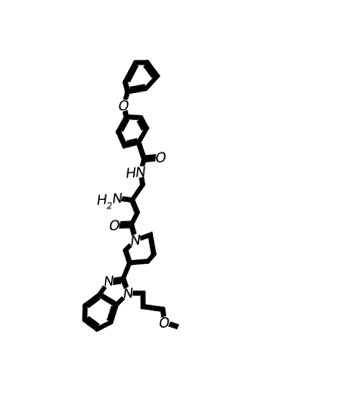 COCCCn1c(C2CCCN(C(=O)CC(N)CNC(=O)c3ccc(Oc4ccccc4)cc3)C2)nc2ccccc21